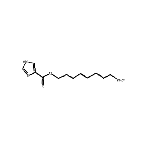 CCCCCCCCCCCCCCCCCOC(=O)c1c[nH]cn1